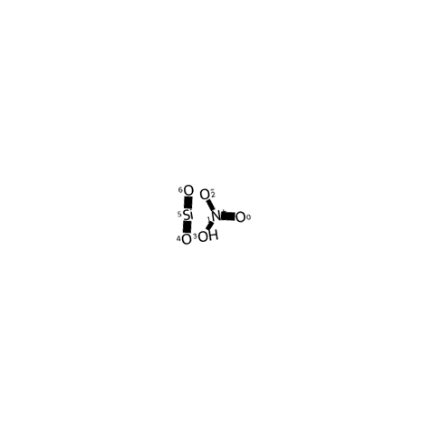 O=[N+]([O-])O.O=[Si]=O